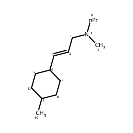 CCCN(C)CC=CC1CC[C](C)CC1